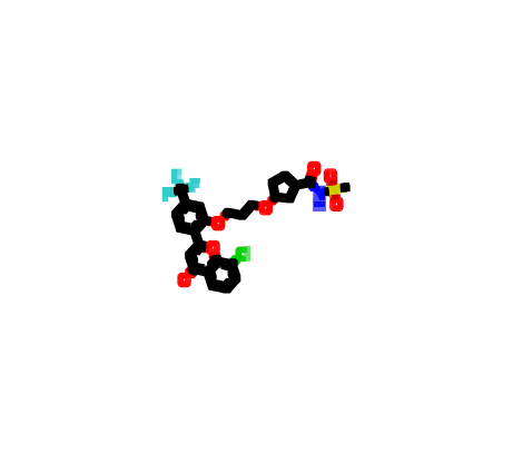 CS(=O)(=O)NC(=O)C1CCC(OCCCOc2cc(C(F)(F)F)ccc2-c2cc(=O)c3cccc(Cl)c3o2)C1